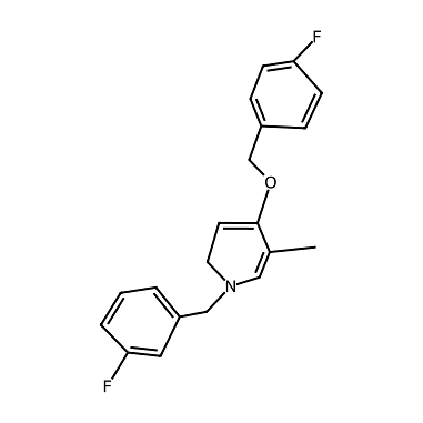 CC1=CN(Cc2cccc(F)c2)CC=C1OCc1ccc(F)cc1